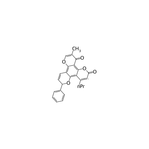 CCCc1[c]c(=O)oc2c1c1c(c3occ(C)c(=O)c32)C=CC(c2ccccc2)O1